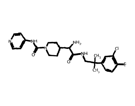 CC(C)(CNC(=O)C(N)C1CCN(C(=O)Nc2ccncc2)CC1)c1ccc(F)c(Cl)c1